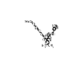 COCCOCCOCCOCCOCCOC(=O)c1c2c(nc3sc4c(NCCc5ccc6[nH]cnc6c5)ncnc4c13)CC(C)(C)OC2